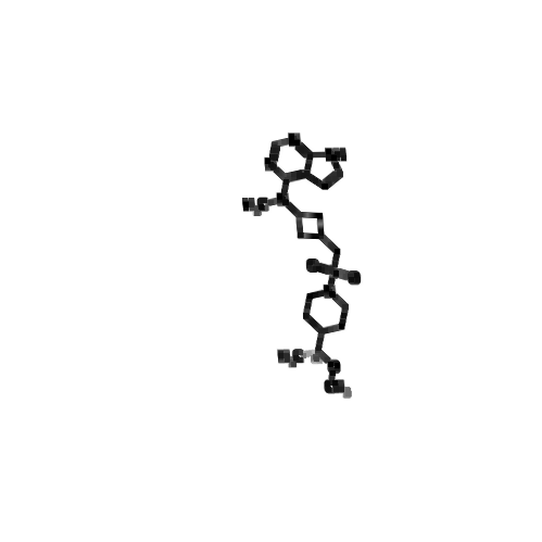 CO[C@H](C)C1CCN(S(=O)(=O)CC2CC(N(C)c3ncnc4[nH]ccc34)C2)CC1